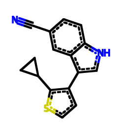 N#Cc1ccc2[nH]cc(-c3ccsc3C3CC3)c2c1